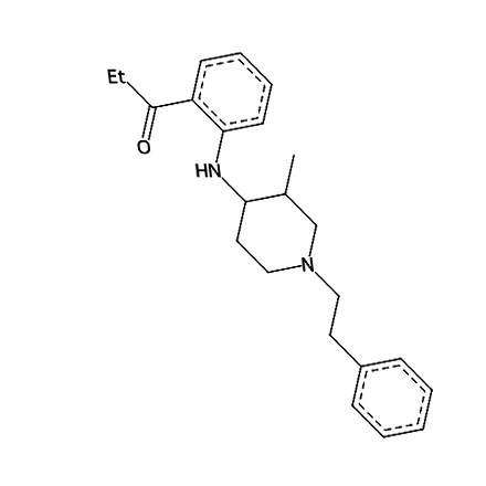 CCC(=O)c1ccccc1NC1CCN(CCc2ccccc2)CC1C